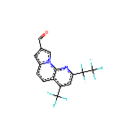 O=Cc1cc2ccc3c(C(F)(F)F)cc(C(F)(F)C(F)(F)F)nc3n2c1